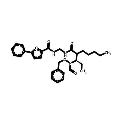 CCCCCC(C(=O)NCNC(=O)c1ccc(-c2ccccc2)o1)[C@@H](CC)N(C=O)OCc1ccccc1